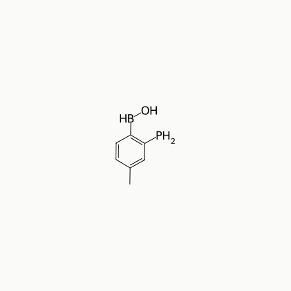 Cc1ccc(BO)c(P)c1